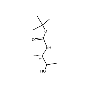 CC(O)[C@H](C)NC(=O)OC(C)(C)C